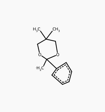 [CH2]C1(c2ccccc2)OCC(C)(C)CO1